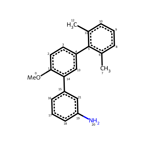 COc1ccc(-c2c(C)cccc2C)cc1-c1cccc(N)c1